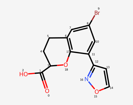 O=C(O)C1CCc2cc(Br)cc(-c3ccon3)c2O1